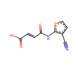 N#Cc1ccsc1NC(=O)C=CC(=O)O